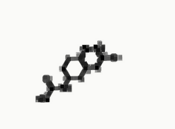 CCCCC(=O)NC1CCc2n[nH]c(=O)cc2C1